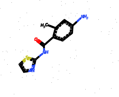 Cc1cc(N)ccc1C(=O)Nc1nccs1